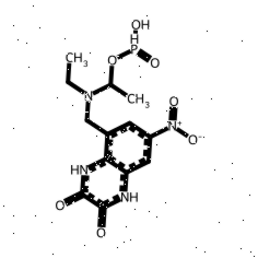 CCN(Cc1cc([N+](=O)[O-])cc2[nH]c(=O)c(=O)[nH]c12)C(C)O[PH](=O)O